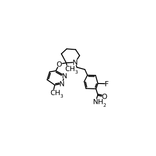 Cc1ccc(OC2(C)CCCCN2CCc2ccc(C(N)=O)c(F)c2)nn1